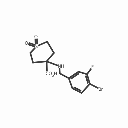 O=C(O)C1(NCc2ccc(Br)c(F)c2)CCS(=O)(=O)CC1